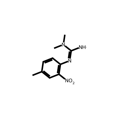 Cc1ccc(N=C([NH])N(C)C)c([N+](=O)[O-])c1